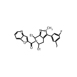 CCC1Cc2c(nn(C)c2-c2cc(F)cc(F)c2)C(CC)N1C(=O)c1cc2ncccc2o1